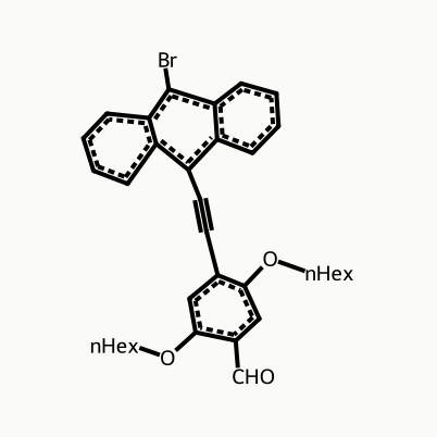 CCCCCCOc1cc(C=O)c(OCCCCCC)cc1C#Cc1c2ccccc2c(Br)c2ccccc12